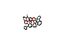 CC1C=C(N(c2cccc(-c3ccccc3)c2-c2ccccc2-c2ccccc2)c2cccc3c2-c2ccccc2C32c3ccccc3-c3ccccc32)C=C2C=CC=CC21